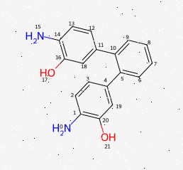 Nc1ccc(-c2ccccc2-c2ccc(N)c(O)c2)cc1O